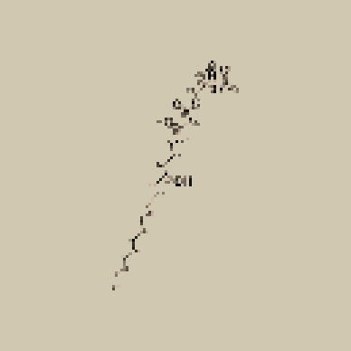 CCCCCCCCCCCCC(O)CCCCC(O)CC(=O)OCC(CO)OC(C)=O